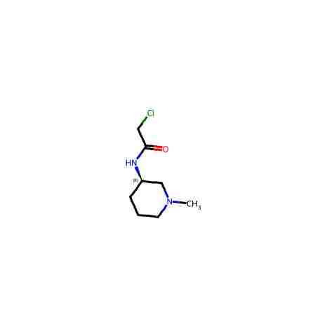 CN1CCC[C@@H](NC(=O)CCl)C1